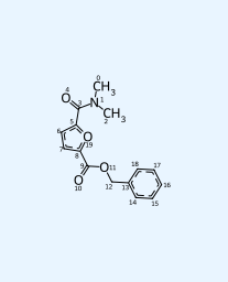 CN(C)C(=O)c1ccc(C(=O)OCc2ccccc2)o1